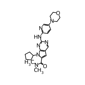 CN(C)C(=O)c1cc2cnc(Nc3ccc(N4CCOCC4)cn3)nc2n1C1CCCC1